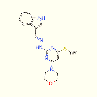 CCCSc1cc(N2CCOCC2)nc(NN=Cc2c[nH]c3ccccc23)n1